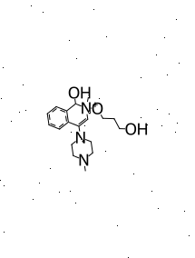 CN1CCN(C2=C[N+](C)(OCCCO)C(O)c3ccccc32)CC1